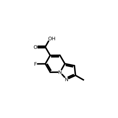 Cc1cc2cc(C(=O)O)c(F)cn2n1